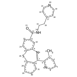 Cc1cccnc1C1=Nc2cc(C(=O)NCCc3ccncc3)ccc2Sc2ccccc21